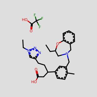 CCC1CN(Cc2cc(C(CCc3cn(CC)nn3)CC(=O)O)ccc2C)Cc2ccccc2O1.O=C(O)C(F)(F)F